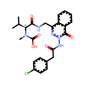 CC(C)[C@@H](C(=O)NCc1nn(NC(=O)Cc2ccc(Cl)cc2)c(=O)c2ccccc12)N(C)C(=O)O